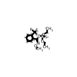 CCOP(=S)(OCC)OC(=NOC)c1ccccc1C(F)(F)F